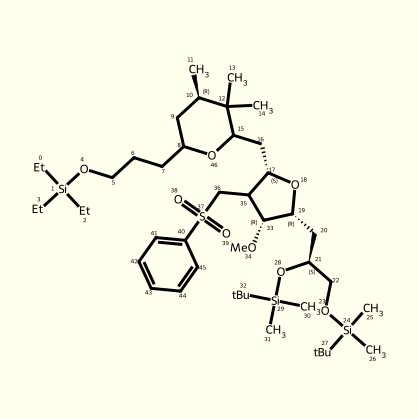 CC[Si](CC)(CC)OCCCC1C[C@@H](C)C(C)(C)C(C[C@@H]2O[C@H](C[C@@H](CO[Si](C)(C)C(C)(C)C)O[Si](C)(C)C(C)(C)C)[C@H](OC)C2CS(=O)(=O)c2ccccc2)O1